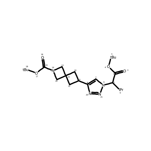 CC(C)C(C(=O)OC(C)(C)C)n1cc(C2CC3(C2)CN(C(=O)OC(C)(C)C)C3)nn1